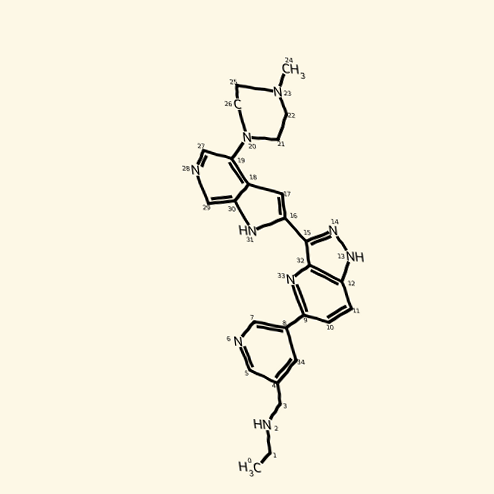 CCNCc1cncc(-c2ccc3[nH]nc(-c4cc5c(N6CCN(C)CC6)cncc5[nH]4)c3n2)c1